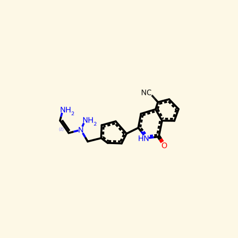 N#Cc1cccc2c(=O)[nH]c(-c3ccc(CN(N)/C=C\N)cc3)cc12